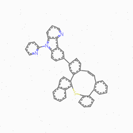 C1=C\c2ccc(-c3ccc4c(c3)c3ncccc3n4-c3ccccn3)cc2-c2ccc3ccccc3c2Sc2ccccc2-c2ccccc2/1